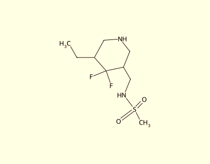 CCC1CNCC(CNS(C)(=O)=O)C1(F)F